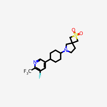 O=S1(=O)CC2(CCN(C3CCC(c4cnc(C(F)(F)F)c(F)c4)CC3)C2)C1